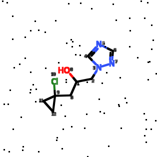 OC(Cn1cncn1)CC1(Cl)CC1